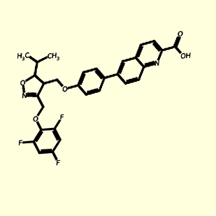 CC(C)C1ON=C(COc2c(F)cc(F)cc2F)C1COc1ccc(-c2ccc3nc(C(=O)O)ccc3c2)cc1